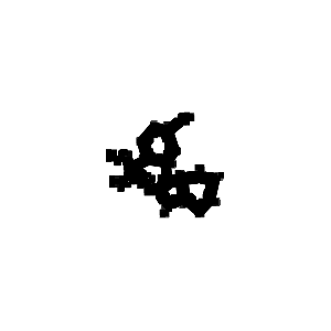 CC(C)(C)c1ccc(Cl)cc1-c1[nH]nc2ccccc12